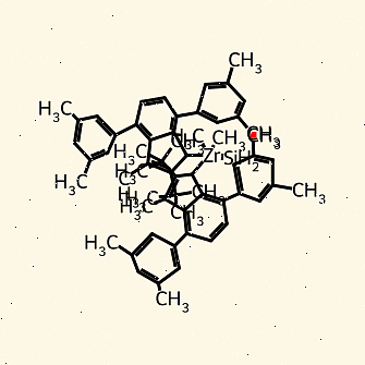 CC1=C(C(C)(C)C)[CH]([Zr]([CH3])([CH3])(=[SiH2])[CH]2C(C(C)(C)C)=C(C)c3c(-c4cc(C)cc(C)c4)ccc(-c4cc(C)cc(C)c4)c32)c2c(-c3cc(C)cc(C)c3)ccc(-c3cc(C)cc(C)c3)c21